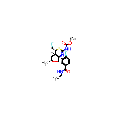 C[C@H]1C[C@H]2[C@@H](CF)SC(NC(=O)OC(C)(C)C)=N[C@@]2(c2cc(C(=O)NCC(F)(F)F)ccc2F)CO1